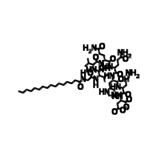 CCCCCCCCCCCCCCCC(=O)NCC(=O)N[C@@H](C(C)C)C(O)NC(C(=O)N[C@@H](CCC(N)=O)C(=O)NC(CCC(N)=O)C(=O)NC(CC1CNCN1)C(O)NC(CCCN)C(=O)NC1CC(=O)OOC1=O)C(C)C